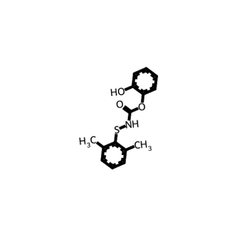 Cc1cccc(C)c1SNC(=O)Oc1ccccc1O